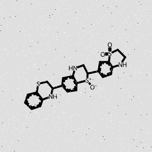 O=S1(=O)CCNc2ccc(C3CNc4cc(C5CSc6ccccc6N5)ccc4[S+]3[O-])cc21